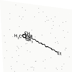 CCC=CCC=CCC=CCC=CCC=CCCCC(=O)Nc1c(C)cc(C)cc1C